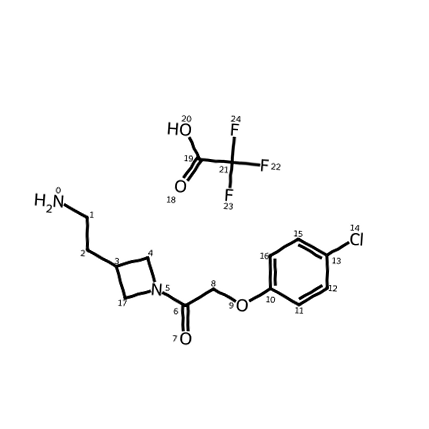 NCCC1CN(C(=O)COc2ccc(Cl)cc2)C1.O=C(O)C(F)(F)F